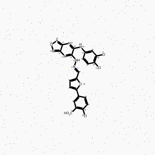 O=C(O)c1cc(-c2ccc(/C=N/Nc3nc4nonc4nc3Nc3ccc(Cl)c(Cl)c3)o2)ccc1Cl